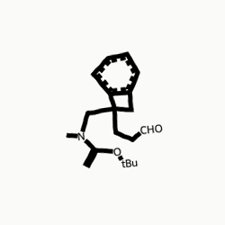 C=C(OC(C)(C)C)N(C)CC1(CCC=O)Cc2ccccc21